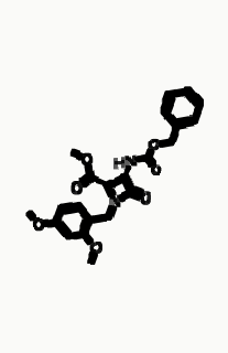 COC(=O)[C@H]1[C@@H](NC(=O)OCc2ccccc2)C(=O)N1Cc1ccc(OC)cc1OC